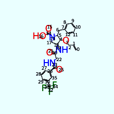 C=CCO[C@@H]1C(Cc2ccccc2)N(C(=O)O)C[C@@H]1NC(=O)CNC(=O)c1cccc(C(F)(F)F)c1